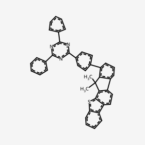 CC1(C)c2c(-c3ccc(-c4nc(-c5ccccc5)nc(-c5ccccc5)n4)cc3)cccc2-c2ccc3c(sc4ccccc43)c21